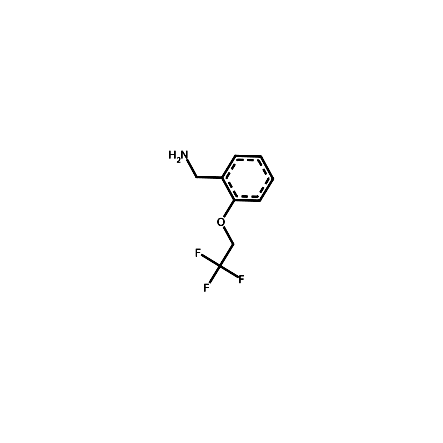 NCc1ccccc1OCC(F)(F)F